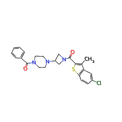 Cc1c(C(=O)N2CC(N3CCN(C(=O)c4ccccc4)CC3)C2)sc2ccc(Cl)cc12